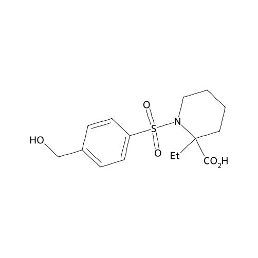 CCC1(C(=O)O)CCCCN1S(=O)(=O)c1ccc(CO)cc1